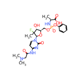 C[C@H](N[P@@](=O)(OC[C@H]1O[C@@H](n2ccc(NC(=O)CN(C)C)nc2=O)[C@](C)(F)[C@@H]1O)Oc1ccccc1)C(=O)O